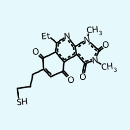 CCc1nc2c(c3c1C(=O)C(CCCS)=CC3=O)c(=O)n(C)c(=O)n2C